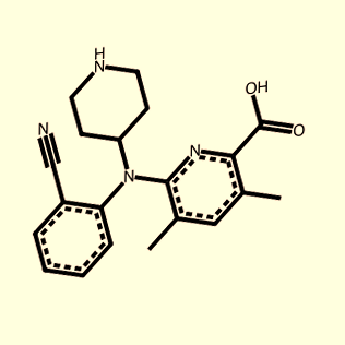 Cc1cc(C)c(N(c2ccccc2C#N)C2CCNCC2)nc1C(=O)O